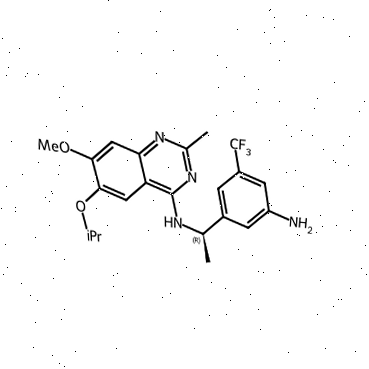 COc1cc2nc(C)nc(N[C@H](C)c3cc(N)cc(C(F)(F)F)c3)c2cc1OC(C)C